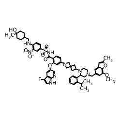 COc1cc(CN2CCN(C3CC4(C3)CN(c3ccc(C(=O)NS(=O)(=O)c5ccc(NCC6CCC(C)(O)CC6)c([N+](=O)[O-])c5)c(Oc5cnc6[nH]cc(F)c6c5)c3)C4)C(c3ccccc3C(C)C)C2)cc2cc(C)oc12